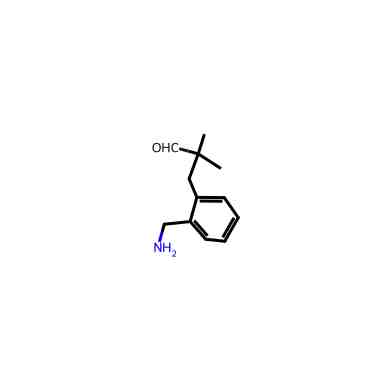 CC(C)(C=O)Cc1ccccc1CN